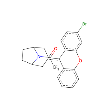 O=C(N1C2CCC1CC(=C1c3ccccc3Oc3cc(Br)ccc31)C2)C(F)(F)F